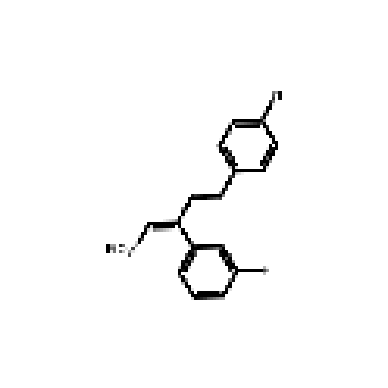 CCOC(=O)C=C(CCc1ccc(Cl)cc1)c1cccc(F)c1